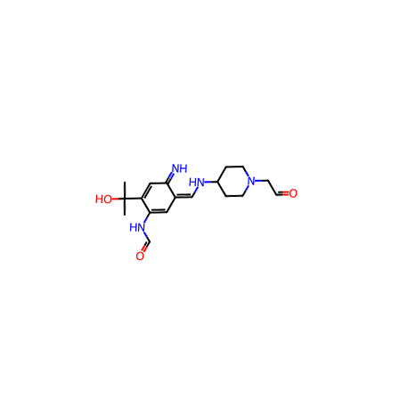 CC(C)(O)C1=CC(=N)/C(=C\NC2CCN(CC=O)CC2)C=C1NC=O